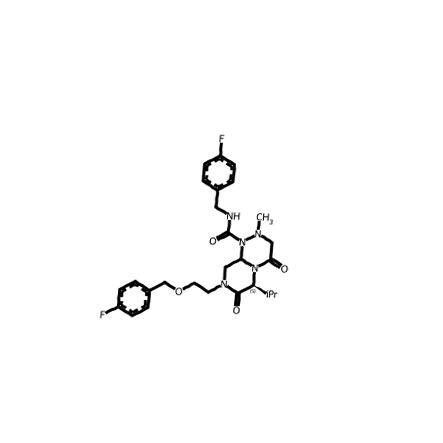 CC(C)[C@H]1C(=O)N(CCOCc2ccc(F)cc2)CC2N1C(=O)CN(C)N2C(=O)NCc1ccc(F)cc1